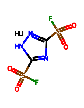 O=S(=O)(F)c1n[nH]c(S(=O)(=O)F)n1.[LiH]